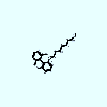 Cc1cccc(C)c1-c1c(C)cccc1OCCCCCCCCl